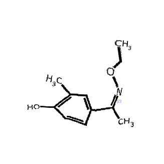 CCO/N=C(/C)c1ccc(O)c(C)c1